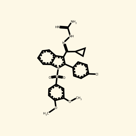 COc1ccc(S(=O)(=O)n2c(-c3ccc(Cl)cc3)c(C(=NNC(=N)N)C3CC3)c3ccccc32)cc1OC